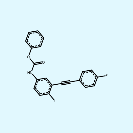 O=C(Nc1ccc(I)c(C#Cc2ccc(F)cc2)c1)Oc1ccccc1